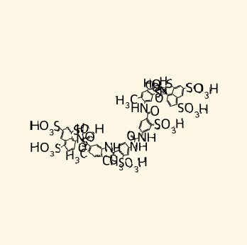 Cc1cc(C)c(S(=O)(=O)Nc2ccc(S(=O)(=O)O)c3cc(S(=O)(=O)O)cc(S(=O)(=O)O)c23)cc1NC(=O)c1ccc(NC(=O)Nc2ccc(C(=O)Nc3cc(S(=O)(=O)Nc4ccc(S(=O)(=O)O)c5cc(S(=O)(=O)O)cc(S(=O)(=O)O)c45)c(C)cc3C)c(S(=O)(=O)O)c2)cc1S(=O)(=O)O